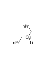 [Li][Cu]([CH2]CCC)[CH2]CCC